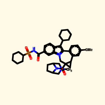 COc1ccc2c(c1)C1CC1(C(=O)N1C3CCC1CN(C)C3)Cn1c-2c(C2CCCCC2)c2ccc(C(=O)NS(=O)(=O)C3CCCCC3)cc21